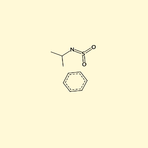 CC(C)N=S(=O)=O.c1ccccc1